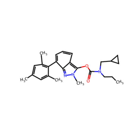 CCCN(CC1CC1)C(=O)Oc1c2cccc(-c3c(C)cc(C)cc3C)c2nn1C